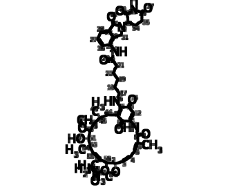 CO[C@H]1C=CC=C(C)C(=O)NC2=CC(=O)C(NCCCCCC(=O)Nc3cccc4c3CN(C3CCC(=O)NC3=O)C4=O)=C(C[C@@H](C)C[C@H](OC)[C@@H](O)[C@@H](C)C=C(C)[C@@H]1OC(N)=O)C2=O